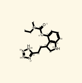 CCN(C)C(=O)Oc1cccc2c1C(CCc1nnn[nH]1)CN2